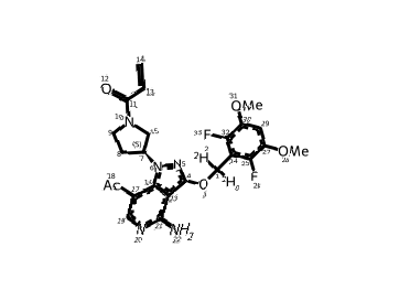 [2H]C([2H])(Oc1nn([C@H]2CCN(C(=O)C=C)C2)c2c(C(C)=O)cnc(N)c12)c1c(F)c(OC)cc(OC)c1F